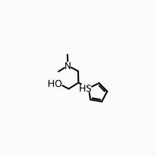 CN(C)CC(CO)[SH]1C=CC=C1